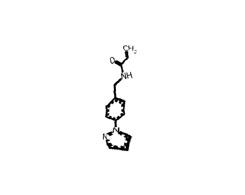 C=CC(=O)NCc1ccc(-n2cccn2)cc1